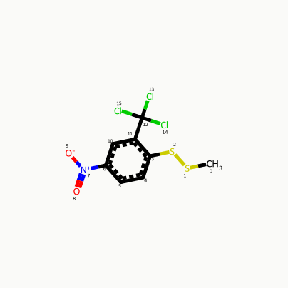 CSSc1ccc([N+](=O)[O-])cc1C(Cl)(Cl)Cl